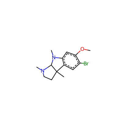 COc1cc2c(cc1Br)C1(C)CCN(C)C1N2C